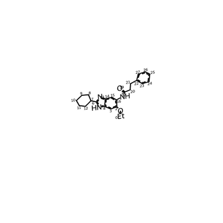 CCOc1cc2[nH]c(C3CCCCC3)nc2cc1NC(=O)CCc1ccccc1